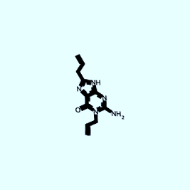 C=CCc1nc2c(=O)n(CC=C)c(N)nc2[nH]1